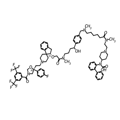 CN(CCCCCC(=O)N(C)CCN1CCC(N(C(=O)O)c2ccccc2-c2ccccc2)CC1)Cc1ccc(C(O)CCCN(C)C(=O)CO[C@H]2Cc3ccccc3C23CCN(CC[C@@]2(c4ccc(F)cc4)CN(C(=O)c4cc(C(F)(F)F)cc(C(F)(F)F)c4)CO2)CC3)cc1